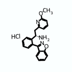 COc1cccc(C[C@H](N)c2ccccc2-c2noc3ccccc23)n1.Cl